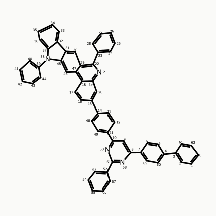 c1ccc(-c2ccc(-c3cc(-c4ccc(-c5ccc6c(c5)nc(-c5ccccc5)c5cc7c8ccccc8n(-c8ccccc8)c7cc56)cc4)nc(-c4ccccc4)n3)cc2)cc1